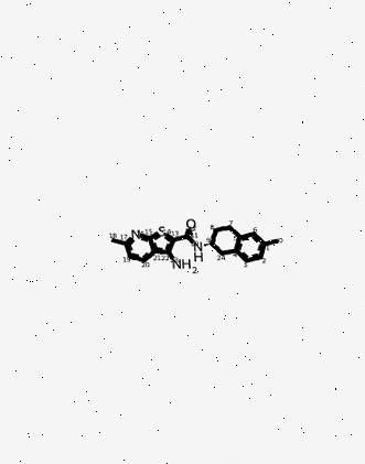 Cc1ccc2c(c1)CC[C@@H](NC(=O)c1sc3nc(C)ccc3c1N)C2